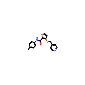 Cc1ccc(NC(=O)c2sccc2SCc2ccncc2)cc1